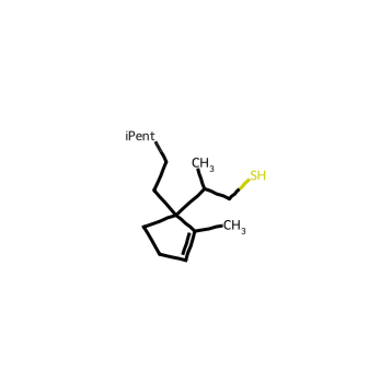 CCCC(C)CCC1(C(C)CS)CCC=C1C